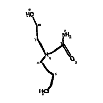 NC(=O)N(CCO)CCO